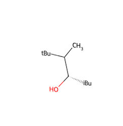 CCC(C)[C@H](O)C(C)C(C)(C)C